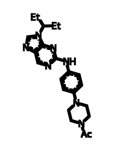 CCC(CC)n1cnc2cnc(Nc3ccc(N4CCN(C(C)=O)CC4)cc3)nc21